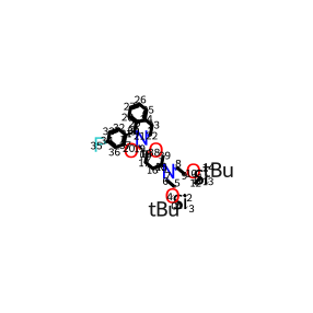 CC(C)(C)[Si](C)(C)OCCN(CCO[Si](C)(C)C(C)(C)C)[C@@H]1CC[C@H](C(=O)N2CCc3ccccc3[C@@H]2c2ccc(F)cc2)OC1